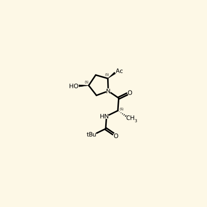 CC(=O)[C@@H]1C[C@H](O)CN1C(=O)[C@H](C)NC(=O)C(C)(C)C